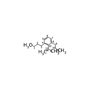 CCCCc1[c]ccc(CCC)c1C(C)C